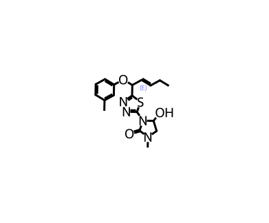 CC/C=C/C(Oc1cccc(C)c1)c1nnc(N2C(=O)N(C)CC2O)s1